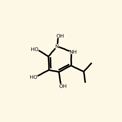 CC(C)C1=C(O)C(O)=C(O)N(O)N1